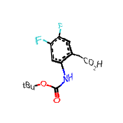 CC(C)(C)OC(=O)Nc1cc(F)c(F)cc1C(=O)O